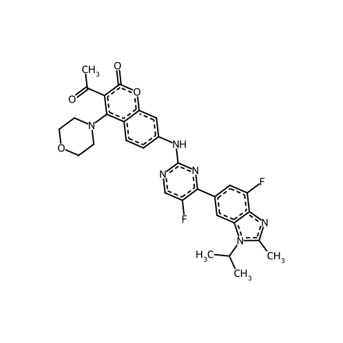 CC(=O)c1c(N2CCOCC2)c2ccc(Nc3ncc(F)c(-c4cc(F)c5nc(C)n(C(C)C)c5c4)n3)cc2oc1=O